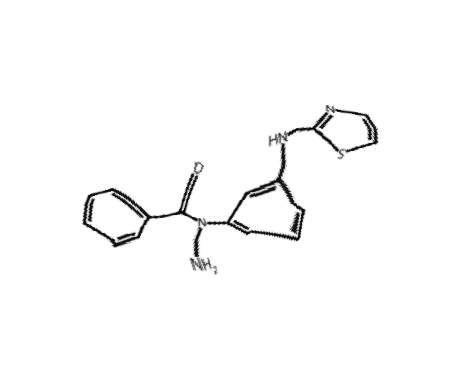 NN(C(=O)c1ccccc1)c1cccc(Nc2nccs2)c1